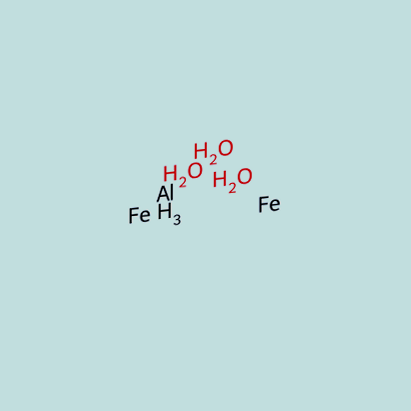 O.O.O.[AlH3].[Fe].[Fe]